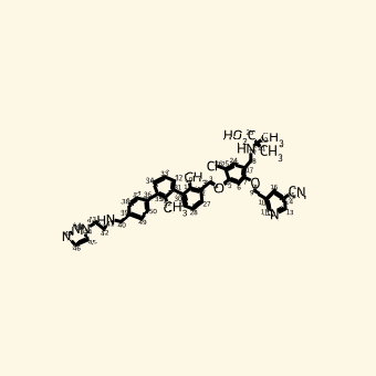 Cc1c(COc2cc(OCc3cncc(C#N)c3)c(CNC(C)(C)C(=O)O)cc2Cl)cccc1-c1cccc(-c2ccc(CNCCn3ccnn3)cc2)c1C